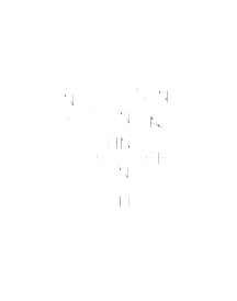 C=C(Nc1nc(C)c(C)s1)N1c2nc(-c3cncc(F)c3)ccc2N2CCC1CC2